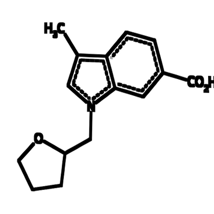 Cc1cn(CC2CCCO2)c2cc(C(=O)O)ccc12